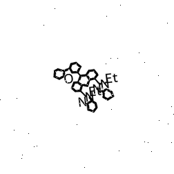 CCn1c(-c2cccc3c(-c4cccc5c4oc4ccccc45)c4cccc(-c5nc6ccccc6n5CC)c4cc23)nc2ccccc21